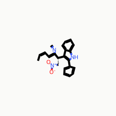 C=N/C(=C\C=C/C)[C@@H](C[N+](=O)[O-])c1c(-c2ccccc2)[nH]c2ccccc12